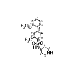 O=S(=O)(NC1CCNCC1)c1ccc(-c2ccccc2OC(F)(F)F)cc1C(F)(F)F